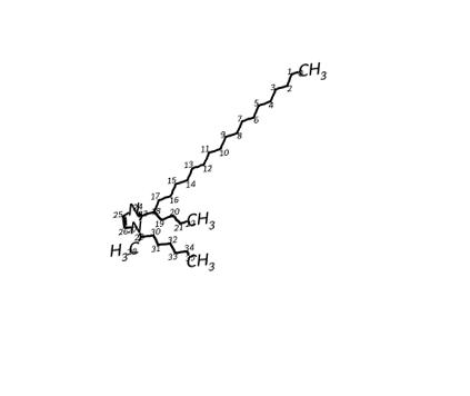 CCCCCCCCCCCCCCCCCCC(CCCC)c1nccn1C(C)CCCCCC